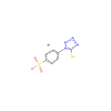 O=S(=O)([O-])c1ccc(-n2nnnc2S)cc1.[K+]